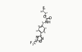 O=C(NCc1ccc(-c2noc(C(F)(F)F)n2)cc1)OCCF